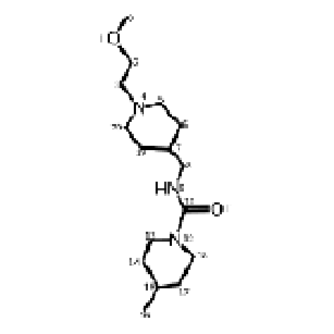 COCCN1CCC(CNC(=O)N2CCC(C)CC2)CC1